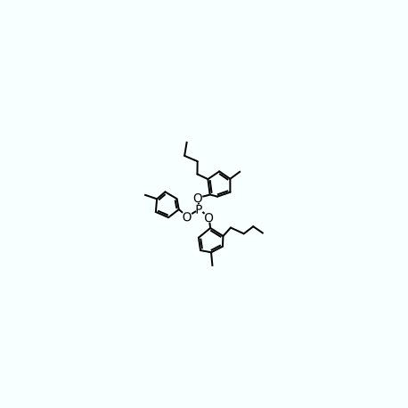 CCCCc1cc(C)ccc1OP(Oc1ccc(C)cc1)Oc1ccc(C)cc1CCCC